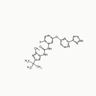 Cn1nc(C(C)(C)C)cc1NC(=O)Nc1cc(Oc2ccnc(-c3cc[nH]n3)n2)ccc1F